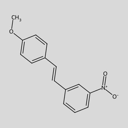 COc1ccc(/C=C/c2cccc([N+](=O)[O-])c2)cc1